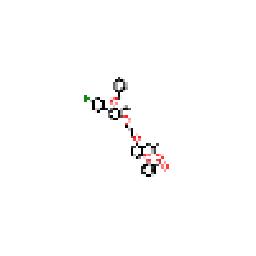 CCc1c(OCCCOc2cccc(Oc3ccccc3C(=O)OC)c2CC(C)C)ccc(-c2ccc(F)cc2)c1OCc1ccccc1